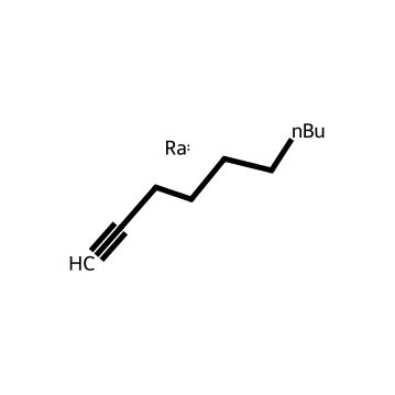 C#CCCCCCCCC.[Ra]